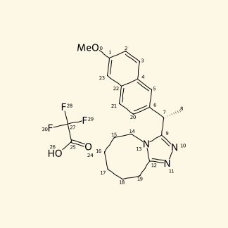 COc1ccc2cc([C@H](C)c3nnc4n3CCCCCC4)ccc2c1.O=C(O)C(F)(F)F